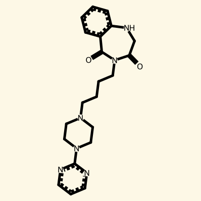 O=C1CNc2ccccc2C(=O)N1CCCCN1CCN(c2ncccn2)CC1